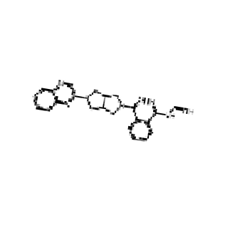 N=CNC(=N)c1ccccc1C(=O)N1CC2CN(c3cnc4ccccc4n3)CC2C1